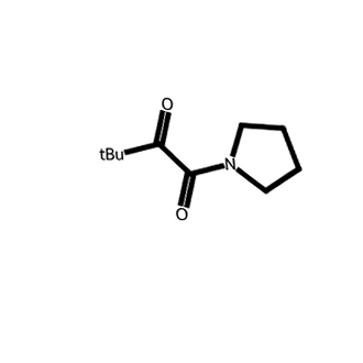 CC(C)(C)C(=O)C(=O)N1CCCC1